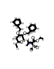 CCOC(=O)/C(=C(/C)C[C@@H]1O[C@H](CC)[C@H](C)[C@H](OCc2ccccc2)[C@H]1OCc1ccccc1)[N+](=O)[O-]